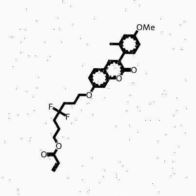 C=CC(=O)OCCCC(F)(F)CCCOc1ccc2cc(-c3ccc(OC)cc3C)c(=O)oc2c1